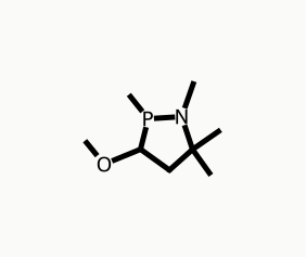 COC1CC(C)(C)N(C)P1C